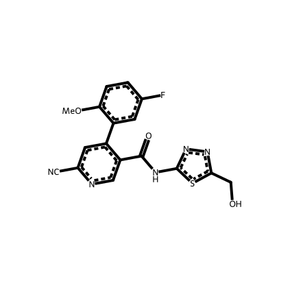 COc1ccc(F)cc1-c1cc(C#N)ncc1C(=O)Nc1nnc(CO)s1